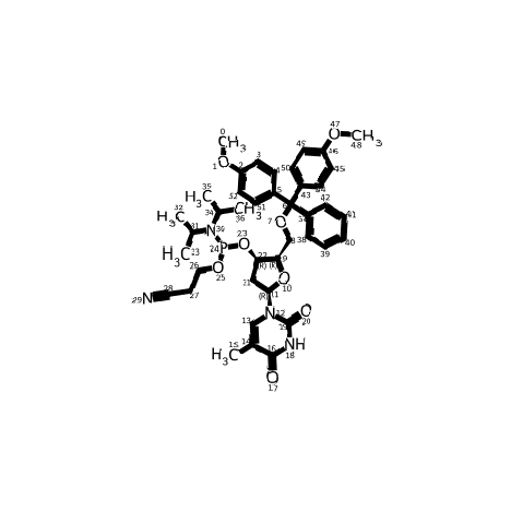 COc1ccc(C(OC[C@H]2O[C@@H](n3cc(C)c(=O)[nH]c3=O)C[C@H]2OP(OCCC#N)N(C(C)C)C(C)C)(c2ccccc2)c2ccc(OC)cc2)cc1